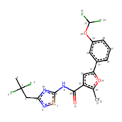 CC(F)(F)Cc1nsc(NC(=O)c2cc(-c3cccc(OC(F)F)c3)oc2C(F)(F)F)n1